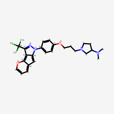 CN(C)C1CCN(CCCOc2ccc(-n3nc(C(F)(F)F)c4c5occcc-5cc43)cc2)C1